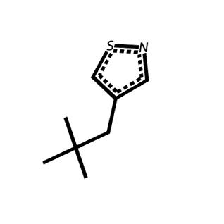 CC(C)(C)Cc1cnsc1